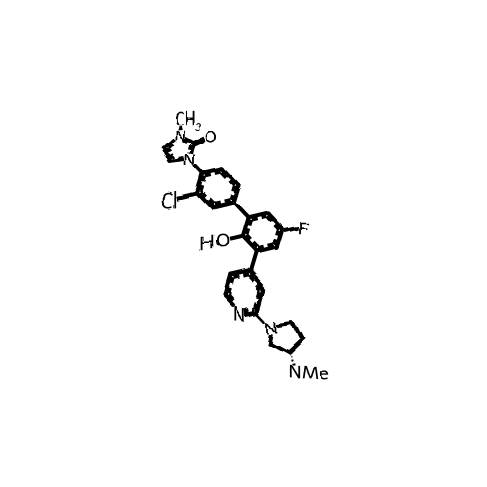 CN[C@H]1CCN(c2cc(-c3cc(F)cc(-c4ccc(-n5ccn(C)c5=O)c(Cl)c4)c3O)ccn2)C1